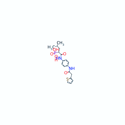 CC(C)CC(C(=O)Nc1ccc(NC(=O)Cc2cccs2)cc1)P(=O)(O)O